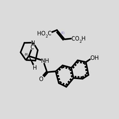 O=C(N[C@H]1CN2CCC1CC2)c1ccc2ccc(O)cc2c1.O=C(O)/C=C/C(=O)O